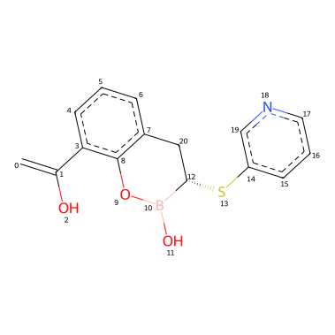 C=C(O)c1cccc2c1OB(O)[C@@H](Sc1cccnc1)C2